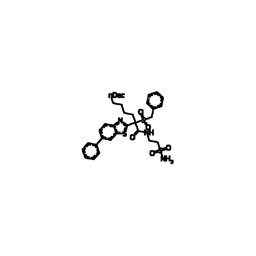 CCCCCCCCCCCCCCC(C(=O)NCCS(N)(=O)=O)(c1nc2ccc(-c3ccccc3)cc2s1)S(=O)(=O)Cc1ccccc1